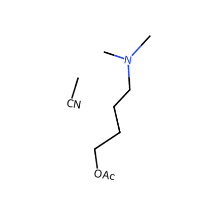 CC#N.CC(=O)OCCCCN(C)C